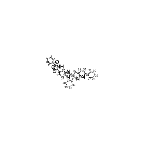 O=C(NS(=O)(=O)c1ccccc1)c1ccc2c(c1)nc(-c1cnc3nc(-c4ccccc4)ccc3c1)n2C1CCCCC1